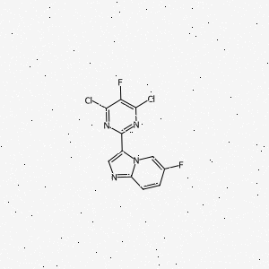 Fc1ccc2ncc(-c3nc(Cl)c(F)c(Cl)n3)n2c1